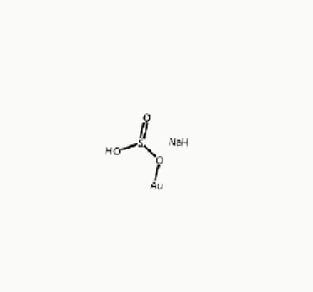 O=S(O)[O][Au].[NaH]